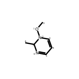 CON1[C]=CC=NC1C